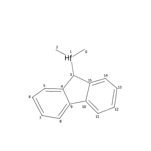 [CH3][Hf]([CH3])[CH]1c2ccccc2-c2ccccc21